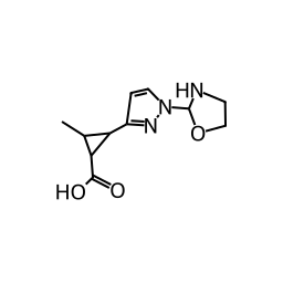 CC1C(C(=O)O)C1c1ccn(C2NCCO2)n1